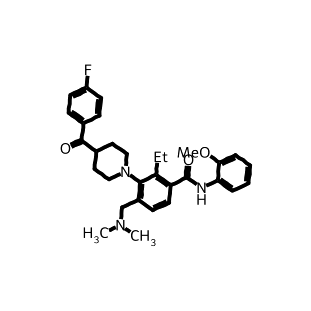 CCc1c(C(=O)Nc2ccccc2OC)ccc(CN(C)C)c1N1CCC(C(=O)c2ccc(F)cc2)CC1